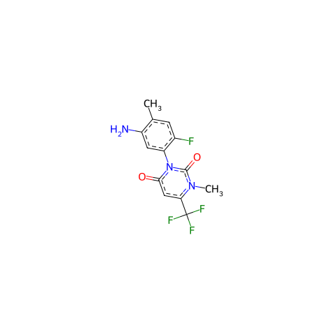 Cc1cc(F)c(-n2c(=O)cc(C(F)(F)F)n(C)c2=O)cc1N